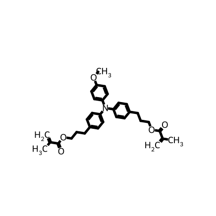 C=C(C)C(=O)OCCCc1ccc(N(c2ccc(CCCOC(=O)C(=C)C)cc2)c2ccc(OC)cc2)cc1